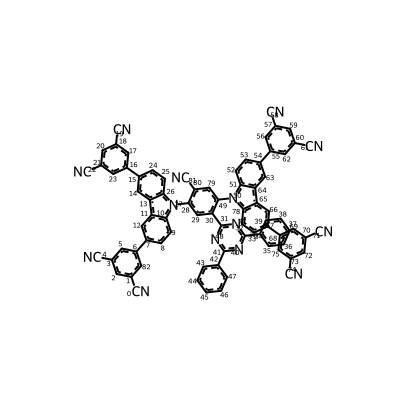 N#Cc1cc(C#N)cc(-c2ccc3c(c2)c2cc(-c4cc(C#N)cc(C#N)c4)ccc2n3-c2cc(-c3nc(-c4ccccc4)nc(-c4ccccc4)n3)c(-n3c4ccc(-c5cc(C#N)cc(C#N)c5)cc4c4cc(-c5cc(C#N)cc(C#N)c5)ccc43)cc2C#N)c1